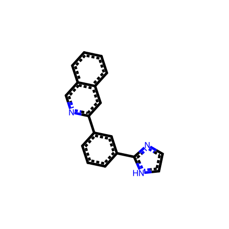 c1cc(-c2cc3ccccc3cn2)cc(-c2ncc[nH]2)c1